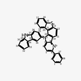 c1ccc(-c2ccc3c(n2)c2ccc4sc5ccccc5c4c2n3-c2ccc3[nH]c4ccccc4c3c2)cc1